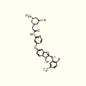 CC1CC(C)CN(CC(=O)Nc2cc(Oc3ccc4c(c3)nc(Nc3cc(C(F)(F)F)ccc3F)n4C)ccn2)C1